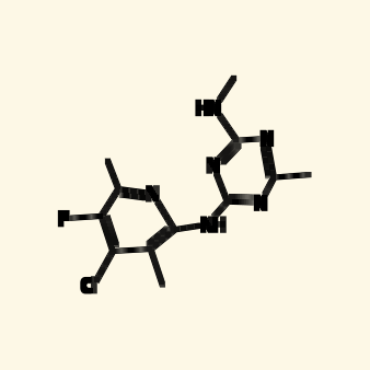 CNc1nc(C)nc(Nc2nc(C)c(F)c(Cl)c2C)n1